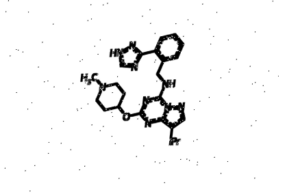 CC(C)c1cnn2c(NCc3ccccc3-c3nc[nH]n3)nc(OC3CCN(C)CC3)nc12